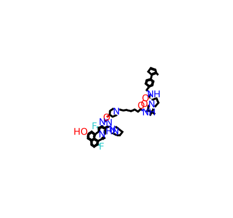 C#Cc1c(F)ccc2cc(O)cc(-c3ncc4c(N5CC6CCC(C5)N6)nc(OC5CCN(CCCCCCC(=O)NC(C(=O)N6CCC[C@H]6C(=O)NCc6ccc(C7=C(C)C=CC7)cc6)C(C)(C)C)CC5)nc4c3F)c12